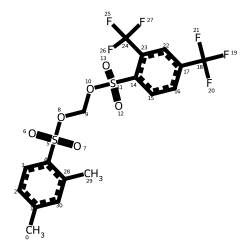 Cc1ccc(S(=O)(=O)OCOS(=O)(=O)c2ccc(C(F)(F)F)cc2C(F)(F)F)c(C)c1